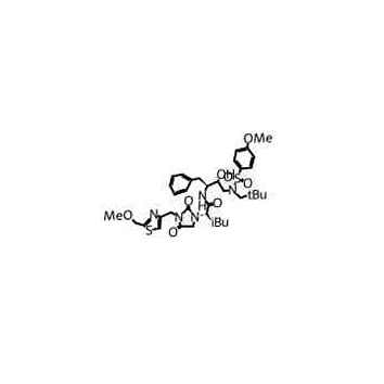 CC[C@H](C)[C@@H](C(=O)N[C@@H](Cc1ccccc1)[C@@H](O)CN(CC(C)(C)C)S(=O)(=O)c1ccc(OC)cc1)N1CC(=O)N(Cc2csc(COC)n2)C1=O